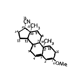 COC1=CC2=CCC3C(CC[C@@]4(C)C3CC[C@@H]4C#N)[C@@]2(C)CC1